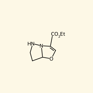 CCOC(=O)C1=COC2CCNN12